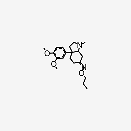 CCCON=C1CCC2(c3ccc(OC)c(OC)c3)CCN(C)C2C1